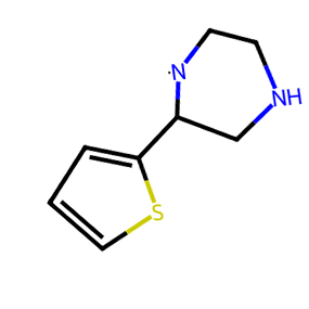 c1csc(C2CNCC[N]2)c1